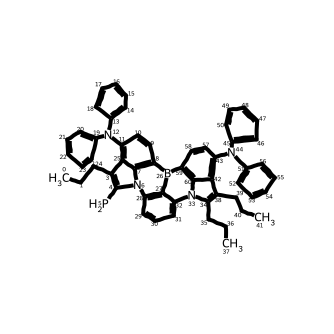 CCCc1c(P)n2c3c(ccc(N(c4ccccc4)c4ccccc4)c13)B1c3c-2cccc3-n2c(CCC)c(CCC)c3c(N(c4ccccc4)c4ccccc4)ccc1c32